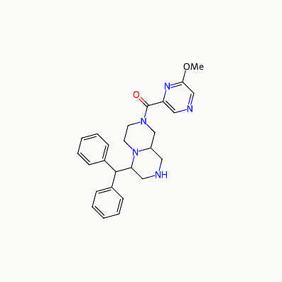 COc1cncc(C(=O)N2CCN3C(CNCC3C(c3ccccc3)c3ccccc3)C2)n1